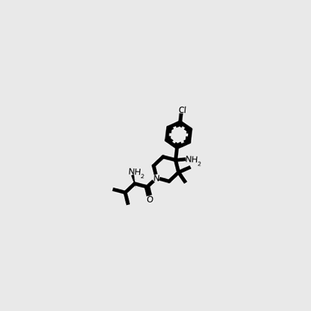 CC(C)[C@@H](N)C(=O)N1CCC(N)(c2ccc(Cl)cc2)C(C)(C)C1